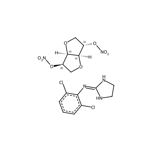 Clc1cccc(Cl)c1N=C1NCCN1.O=[N+]([O-])O[C@H]1CO[C@H]2[C@@H]1OC[C@H]2O[N+](=O)[O-]